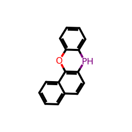 c1ccc2c(c1)Oc1c(ccc3ccccc13)P2